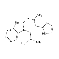 CC(C)Cn1c(CN(C)Cc2ncc[nH]2)nc2ccccc21